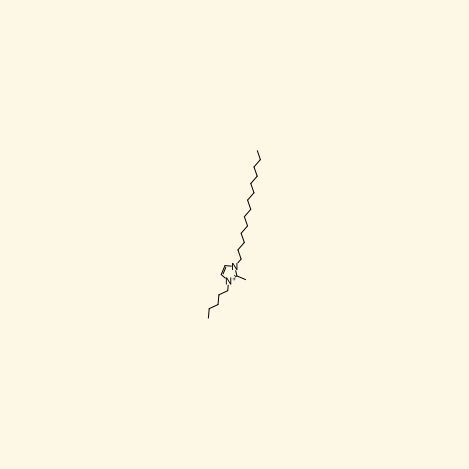 CCCCCCCCCCCCCCn1cc[n+](CCCCC)c1C